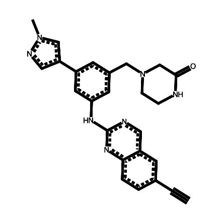 C#Cc1ccc2nc(Nc3cc(CN4CCNC(=O)C4)cc(-c4cnn(C)c4)c3)ncc2c1